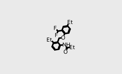 CCC(=O)Nc1cccc(CC)c1COc1ccc(CC)cc1C(F)F